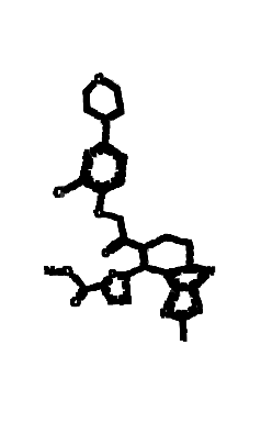 COC(=O)c1ccc(C2c3c(nc4sc(C)nn34)CCN2C(=O)COc2ccc(N3CCOCC3)nc2Cl)o1